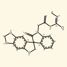 C=C(CN1C(=O)C2(COc3cc4c(cc32)OCO4)c2ccccc21)S/C(Cl)=N\C